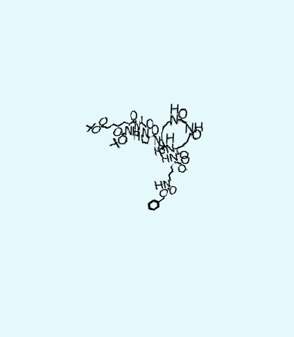 COC(=O)[C@H](CCCCNC(=O)OCc1ccccc1)NC(=O)[C@@H]1CCC(=O)NCC(=O)NCCC[C@H](NC(=O)[C@@H]2CCCN2C(=O)[C@H](C)NC(=O)[C@H](CCCCC(=O)OC(C)(C)C)NC(=O)OC(C)(C)C)C(=O)N1